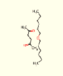 CC(=O)CCC(C)=O.CCCCCCOCCCCCC